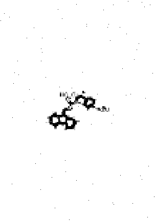 C[C@@H](c1ccc(OC(C)(C)C)cc1)[C@H](NC(=O)OCC1c2ccccc2-c2ccccc21)C(=O)O